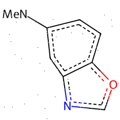 CNc1ccc2ocnc2c1